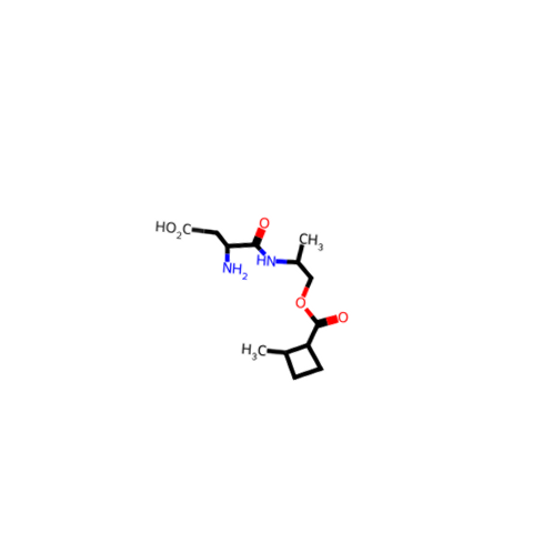 CC(COC(=O)C1CCC1C)NC(=O)C(N)CC(=O)O